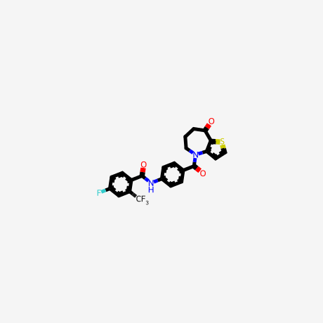 O=C(Nc1ccc(C(=O)N2CCCC(=O)c3sccc32)cc1)c1ccc(F)cc1C(F)(F)F